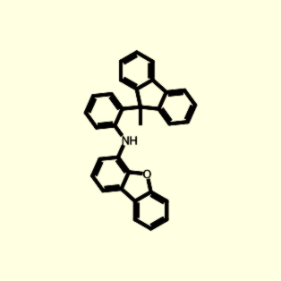 CC1(c2ccccc2Nc2cccc3c2oc2ccccc23)c2ccccc2-c2ccccc21